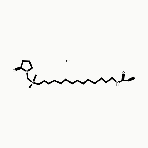 C=CC(=O)NCCCCCCCCCCCCCC[N+](C)(C)CN1CCCC1=O.[Cl-]